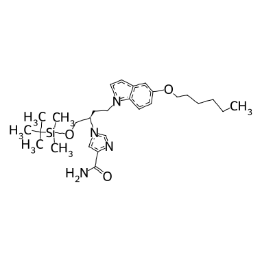 CCCCCCOc1ccc2c(ccn2CC[C@H](CO[Si](C)(C)C(C)(C)C)n2cnc(C(N)=O)c2)c1